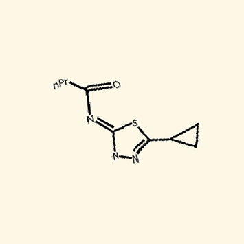 CCCC(=O)N=C1[N]N=C(C2CC2)S1